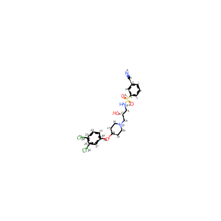 N#Cc1cccc(S(=O)(=O)NC[C@@H](O)CN2CCC(Oc3ccc(Cl)c(Cl)c3)CC2)c1